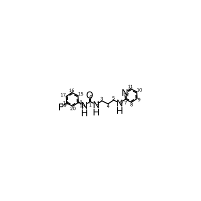 O=C(NCCCNc1ccccn1)Nc1cccc(F)c1